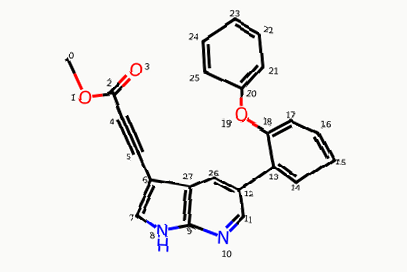 COC(=O)C#Cc1c[nH]c2ncc(-c3ccccc3Oc3ccccc3)cc12